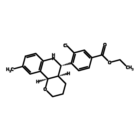 CCOC(=O)c1ccc([C@H]2Nc3ccc(C)cc3[C@@H]3OCCC[C@H]23)c(Cl)c1